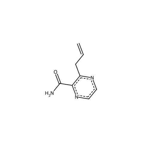 C=CCc1nccnc1C(N)=O